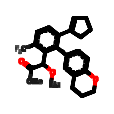 COC(=O)C(OC(C)(C)C)c1c(C(F)(F)F)ccc(C2=CCCC2)c1-c1ccc2c(c1)CCCO2